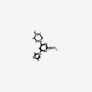 CN1CCN(c2cc(-n3ccnc3)nc(N)n2)CC1